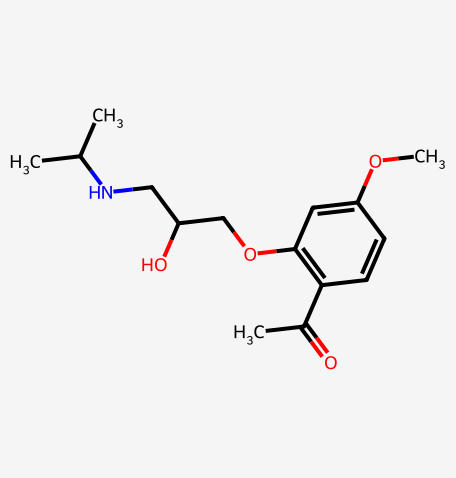 COc1ccc(C(C)=O)c(OCC(O)CNC(C)C)c1